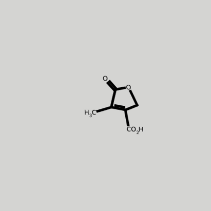 CC1=C(C(=O)O)COC1=O